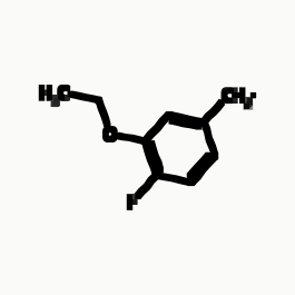 [CH2]c1ccc(F)c(OCC)c1